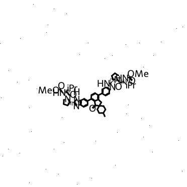 COC(=O)N[C@H](C(=O)N1CCC[C@H]1c1nc2ccc(-c3ccc(-c4ccc5nc([C@@H]6CCCN6C(=O)[C@@H](NC(=O)OC)C(C)C)[nH]c5c4)c4c3CC3(CCC(C)CC3)C4=O)cc2[nH]1)C(C)C